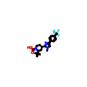 Cn1cc(-c2ccc(C(F)(F)F)cc2)nc1C1CCN(C(=O)O)C(C(C)(C)C)C1